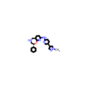 Cn1cc(-c2ccc(Nc3ccc4c(n3)O[C@H](c3ccccc3)CNC4)nc2)cn1